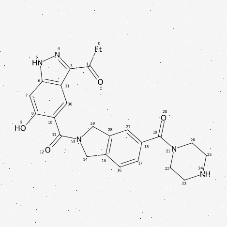 CCC(=O)c1n[nH]c2cc(O)c(C(=O)N3Cc4ccc(C(=O)N5CCNCC5)cc4C3)cc12